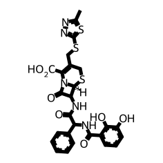 Cc1nnc(SCC2=C(C(=O)O)N3C(=O)C(NC(=O)C(NC(=O)c4cccc(O)c4O)c4ccccc4)[C@@H]3SC2)s1